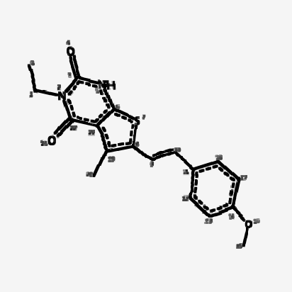 CCn1c(=O)[nH]c2sc(C=Cc3ccc(OC)cc3)c(C)c2c1=O